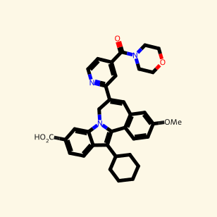 COc1ccc2c(c1)C=C(c1cc(C(=O)N3CCOCC3)ccn1)Cn1c-2c(C2CCCCC2)c2ccc(C(=O)O)cc21